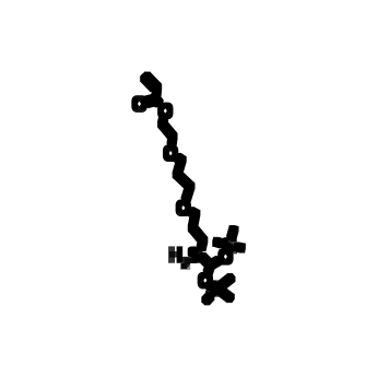 C=CC(=O)OCCOCCCOCCC[SiH2]C(O[Si](C)(C)C)O[Si](C)(C)C